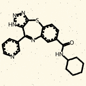 O=C(NC1CCCCC1)c1ccc2c(c1)N=C(c1cccnc1)c1[nH]nnc1S2